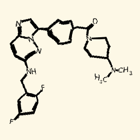 CN(C)C1CCN(C(=O)c2ccc(-c3cnc4ccc(NCc5cc(F)ccc5F)nn34)cc2)CC1